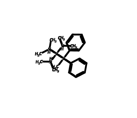 C[SiH](C)[Si]([SiH](C)C)([SiH](C)C)[Si](C)(c1ccccc1)c1ccccc1